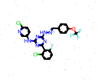 Fc1cccc(Cl)c1-c1nc(N/N=C/c2ccc(OC(F)(F)F)cc2)nc(Nc2ccc(Cl)nc2)n1